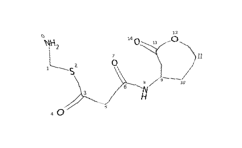 NCSC(=O)CC(=O)NC1CCOC1=O